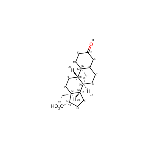 C[C@]12CC[C@H]3[C@@H](CCC4CC(=O)CC[C@@]43C)[C@@H]1CC[C@@H]2C(=O)O